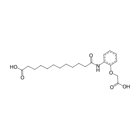 O=C(O)CCCCCCCCCCC(=O)Nc1ccccc1OCC(=O)O